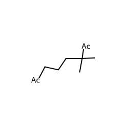 CC(=O)CCCC(C)(C)C(C)=O